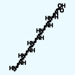 CNCCNCCNCCNCCNCCNCCNCCNCCNCCNCC(=O)O